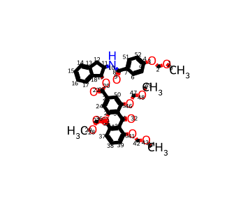 COCOc1ccc(C(=O)NC2Cc3ccccc3C2OC(=O)c2cc(OCOC)c(C(=O)c3c(C=O)cccc3OCOC)c(OCOC)c2)cc1